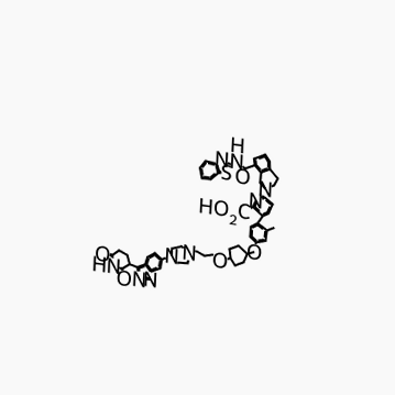 Cc1cc(OC2CCC(OCCCN3CCN(c4ccc5c(C6CCC(=O)NC6=O)nn(C)c5c4)CC3)CC2)ccc1-c1ccc(N2CCc3cccc(C(=O)Nc4nc5ccccc5s4)c3C2)nc1C(=O)O